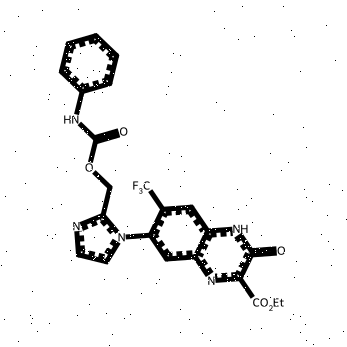 CCOC(=O)c1nc2cc(-n3ccnc3COC(=O)Nc3ccccc3)c(C(F)(F)F)cc2[nH]c1=O